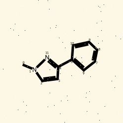 Cn1ccc(-c2ccccc2)n1